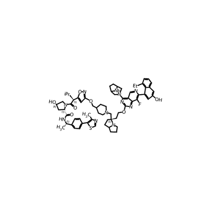 CCc1cccc2cc(O)cc(-c3ncc4c(N5CC6CCC(C5)N6)nc(OCC[C@]5(CN6CCC(COc7cc([C@@H](C(=O)N8C[C@H](O)C[C@H]8C(=O)N[C@@H](C)c8ccc(-c9scnc9C)cc8)C(C)C)on7)CC6)CCC6CCCN65)nc4c3F)c12